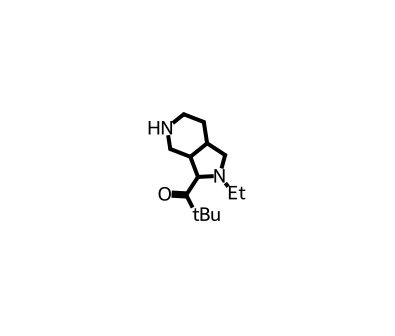 CCN1CC2CCNCC2C1C(=O)C(C)(C)C